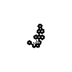 c1ccc(-c2ccc3ccc4ccc(-c5c6ccccc6c(-c6ccc7c8c(cccc68)-c6ccccc6-7)c6ccccc56)nc4c3n2)cc1